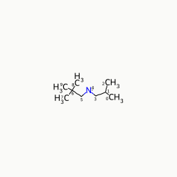 CC(C)C[N]CC(C)(C)C